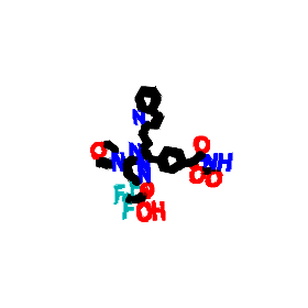 O=C(O)C(F)(F)F.O=C1NC(=O)C(c2ccc(-c3c(/C=C/c4ccc5ccccc5n4)nc4c(N5CCOCC5)ccnn34)cc2)O1